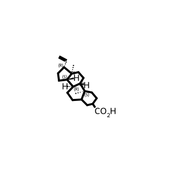 C=C[C@H]1CC[C@H]2[C@@H]3CCC4CC(C(=O)O)CC[C@]4(C)[C@H]3CC[C@]12C